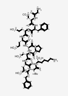 CC[C@H](C)[C@H](NC(=O)[C@H](CCC(=O)O)NC(=O)[C@H](CCC(=O)O)NC(=O)[C@H](Cc1ccccc1)NC(=O)[C@H](CC(=O)O)NC(=O)CN)C(=O)N1CCC[C@H]1C(=O)N[C@@H](CC(=O)O)C(=O)N[C@@H](CCC(=O)O)C(=O)N(C(=O)OCc1ccccc1)[C@H](C(=O)N[C@@H](CCCCN)C(=O)O)[C@@H](C)CC